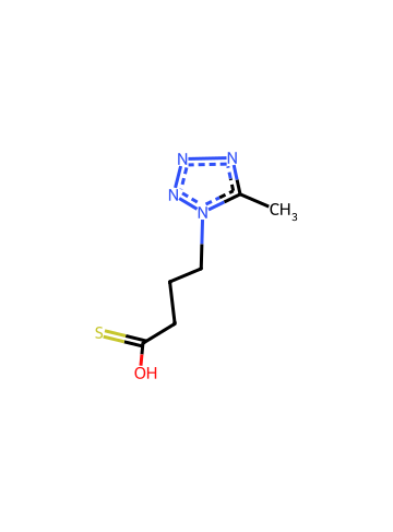 Cc1nnnn1CCCC(O)=S